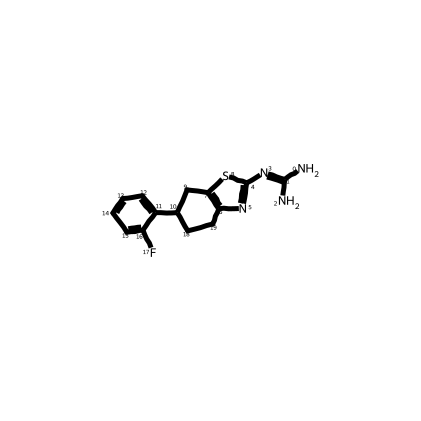 NC(N)=Nc1nc2c(s1)CC(c1ccccc1F)CC2